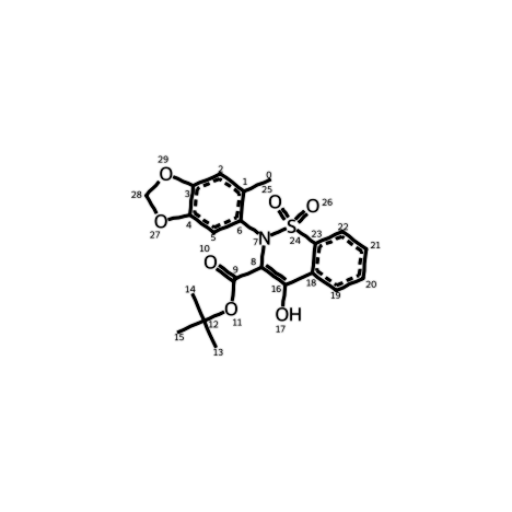 Cc1cc2c(cc1N1C(C(=O)OC(C)(C)C)=C(O)c3ccccc3S1(=O)=O)OCO2